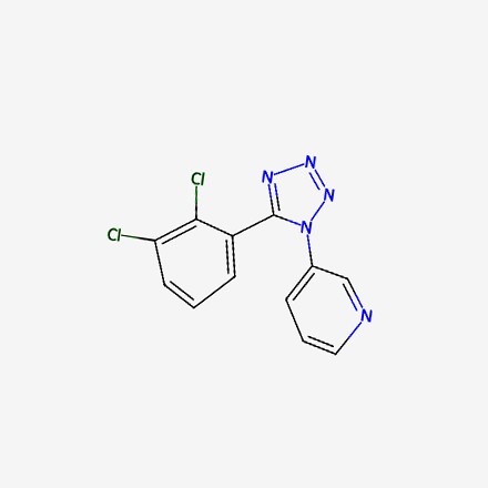 Clc1cccc(-c2nnnn2-c2cccnc2)c1Cl